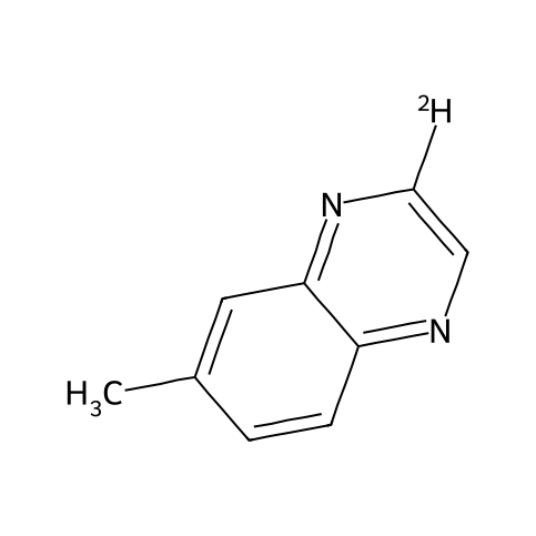 [2H]c1cnc2ccc(C)cc2n1